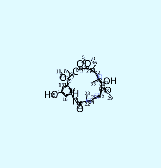 CO[C@H]1[C@@H](OC)C[C@H](C)[C@@H](OC)c2cc(O)cc(c2)NC(=O)/C(C)=C/C=C/[C@H](OC)[C@@H](O)/C(C)=C/[C@@H]1C